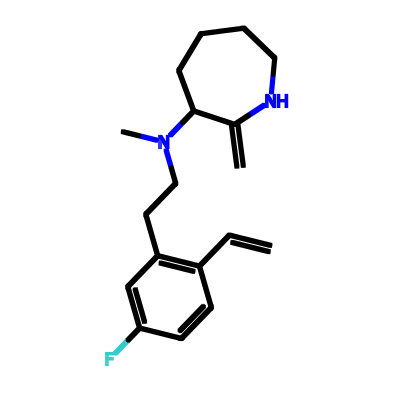 C=Cc1ccc(F)cc1CCN(C)C1CCCCNC1=C